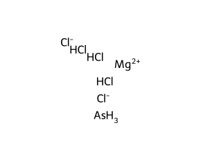 Cl.Cl.Cl.[AsH3].[Cl-].[Cl-].[Mg+2]